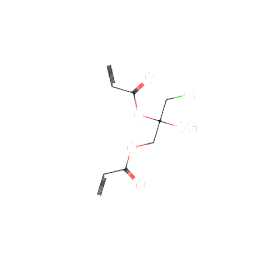 C=CC(=O)OCC(O)(CCl)OC(=O)C=C